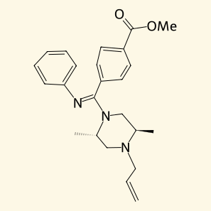 C=CCN1C[C@H](C)N(C(=Nc2ccccc2)c2ccc(C(=O)OC)cc2)C[C@H]1C